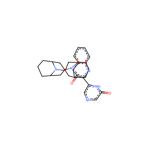 O=c1cncc(-c2nc3ccccc3n(C3CC4CCCC(C3)N4C3CC4CCCC(C4)C3)c2=O)[nH]1